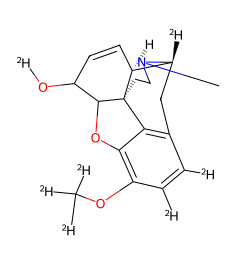 [2H]OC1C=C[C@@H]2[C@@]34CCN(C)[C@]2([2H])Cc2c([2H])c([2H])c(OC([2H])([2H])[2H])c(c23)OC14